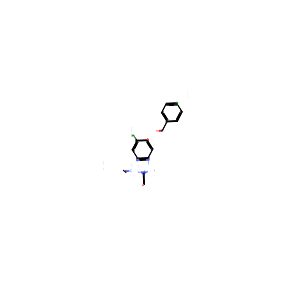 CCn1c(CO)nc2cc(OCc3ccc(Cl)cc3)c(Cl)cc21